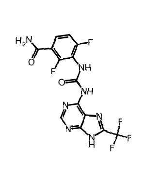 NC(=O)c1ccc(F)c(NC(=O)Nc2ncnc3[nH]c(C(F)(F)F)nc23)c1F